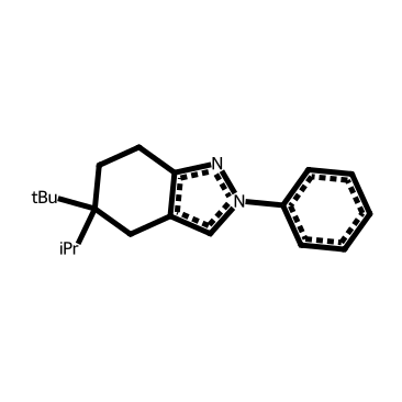 CC(C)C1(C(C)(C)C)CCc2nn(-c3ccccc3)cc2C1